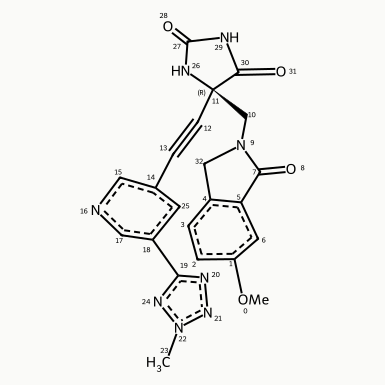 COc1ccc2c(c1)C(=O)N(C[C@@]1(C#Cc3cncc(-c4nnn(C)n4)c3)NC(=O)NC1=O)C2